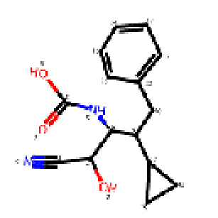 N#CC(O)[C@@H](NC(=O)O)C(Cc1ccccc1)C1CC1